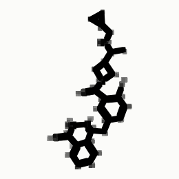 CC(NCC1CC1)C1CN(C(=O)c2cc(Cc3n[nH]c(=O)c4ccccc34)ccc2F)C1